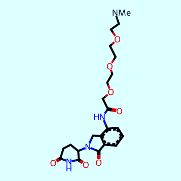 CNCCOCCOCCOCC(=O)Nc1cccc2c1CN(C1CCC(=O)NC1=O)C2=O